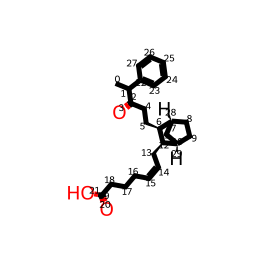 CC(C(=O)CC[C@H]1[C@H]2CC[C@H](C2)[C@H]1C/C=C\CCCC(=O)O)c1ccccc1